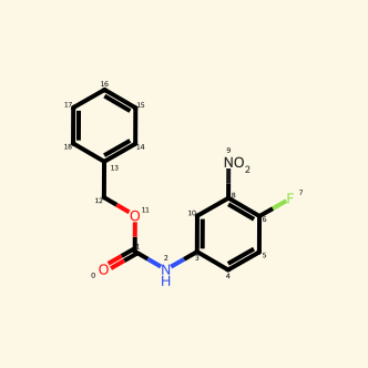 O=C(Nc1ccc(F)c([N+](=O)[O-])c1)OCc1ccccc1